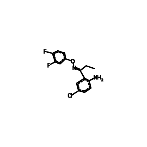 CC/C(=N\Oc1ccc(F)c(F)c1)c1cc(Cl)ccc1N